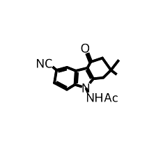 CC(=O)Nn1c2c(c3cc(C#N)ccc31)C(=O)CC(C)(C)C2